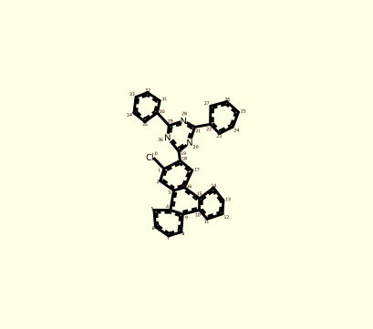 Clc1cc2c3ccccc3c3ccccc3c2cc1-c1nc(-c2ccccc2)nc(-c2ccccc2)n1